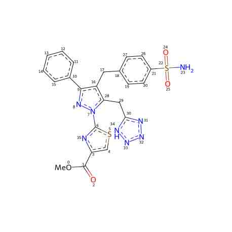 COC(=O)c1csc(-n2nc(-c3ccccc3)c(Cc3ccc(S(N)(=O)=O)cc3)c2Cc2nnn[nH]2)n1